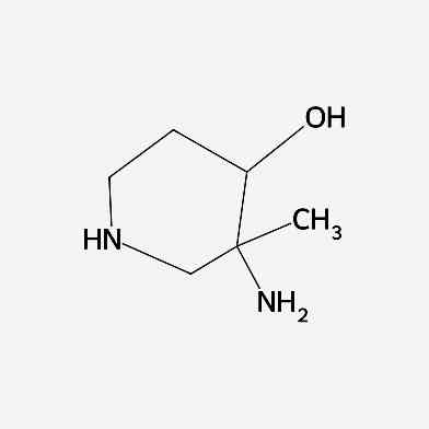 CC1(N)CNCCC1O